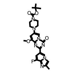 COc1cc(N2CCN(C(=O)OC(C)(C)C)CC2)cn2c(=O)nc(-c3cc(F)c4nc(C)cn4c3)nc12